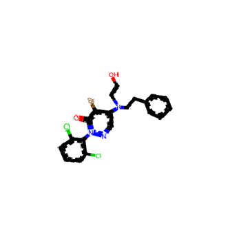 O=c1c(Br)c(N(CCO)CCc2ccccc2)cnn1-c1c(Cl)cccc1Cl